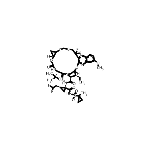 CC[C@@H]1[C@@H]2CN(C(=O)[C@H](C(C)(C)C)NC(=O)O[C@@H]3CC3CCCCC(F)(F)c3nc4ccc(OC)cc4nc3O2)[C@@H]1C(=O)N[C@]1(C(=O)NS(=O)(=O)C2(C)CC2)C[C@H]1CC(F)F